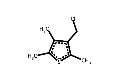 Cc1sc(C)c(CCl)c1C